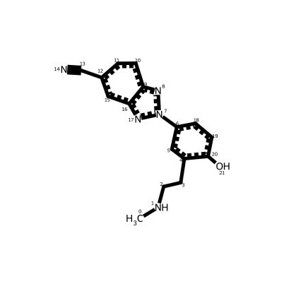 CNCCc1cc(-n2nc3ccc(C#N)cc3n2)ccc1O